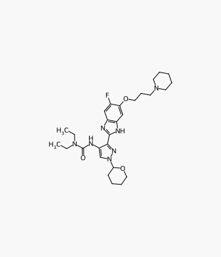 CCN(CC)C(=O)Nc1cn(C2CCCCO2)nc1-c1nc2cc(F)c(OCCCN3CCCCC3)cc2[nH]1